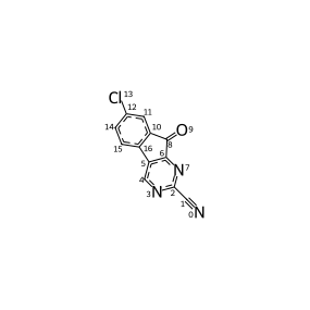 N#Cc1ncc2c(n1)C(=O)c1cc(Cl)ccc1-2